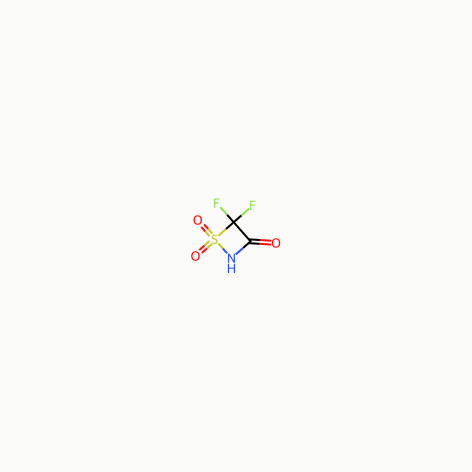 O=C1NS(=O)(=O)C1(F)F